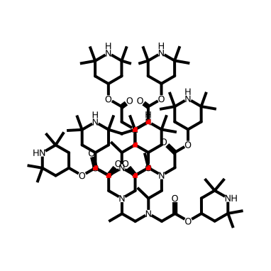 CC(CN(CC(=O)OC1CC(C)(C)NC(C)(C)C1)C(C)CN(CC(=O)OC1CC(C)(C)NC(C)(C)C1)C(C)CN(CC(=O)OC1CC(C)(C)NC(C)(C)C1)C(C)CN(CC(=O)OC1CC(C)(C)NC(C)(C)C1)CC(=O)OC1CC(C)(C)NC(C)(C)C1)N(CC(=O)OC1CC(C)(C)NC(C)(C)C1)CC(=O)OC1CC(C)(C)NC(C)(C)C1